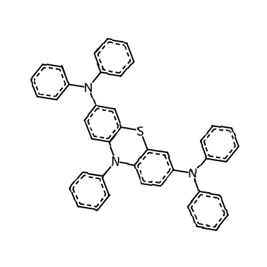 c1ccc(N(c2ccccc2)c2ccc3c(c2)Sc2cc(N(c4ccccc4)c4ccccc4)ccc2N3c2ccccc2)cc1